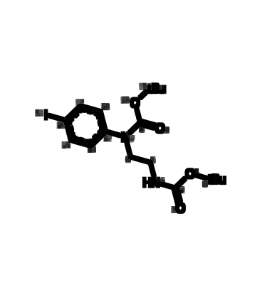 CC(C)(C)OC(=O)NCCN(C(=O)OC(C)(C)C)c1ccc(I)cc1